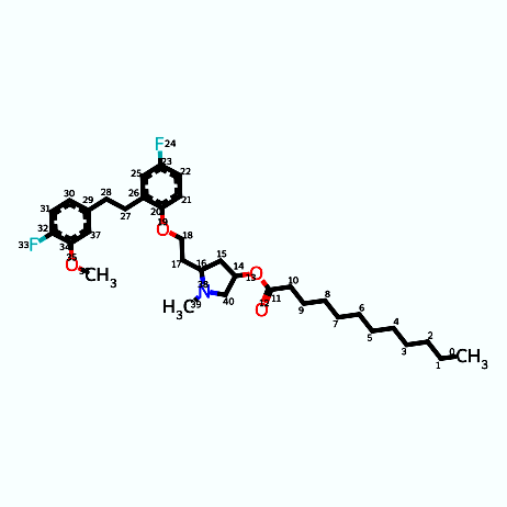 CCCCCCCCCCCC(=O)OC1CC(CCOc2ccc(F)cc2CCc2ccc(F)c(OC)c2)N(C)C1